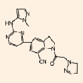 Cn1nccc1Nc1nccc(-c2cc(C#N)c3c(c2)CCN3C(=O)Cn2cccn2)n1